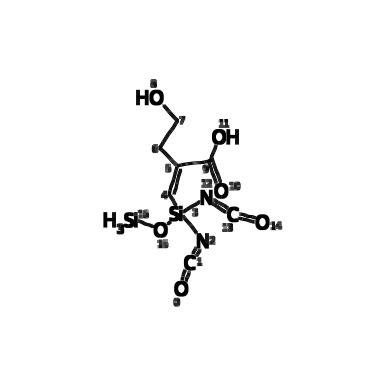 O=C=N[Si](C=C(CCO)C(=O)O)(N=C=O)O[SiH3]